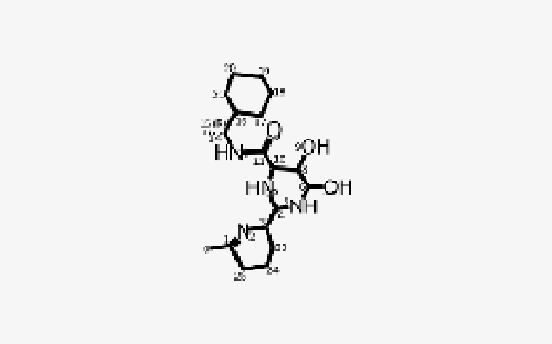 CC1=NC(C2NC(O)C(O)C(C(=O)N[C@H](C)C3CCCCC3)N2)CCC1